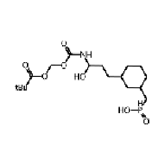 CC(C)(C)C(=O)OCOC(=O)NC(O)CCC1CCCC(C[PH](=O)O)C1